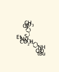 CCN(C(=O)O)c1nc(CCc2ccc(NC(=O)OC(C)(C)C)cc2)c(Cc2ccc(S(C)(=O)=O)cc2)s1